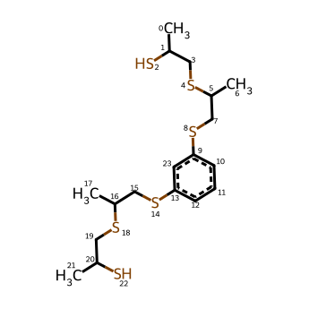 CC(S)CSC(C)CSc1cccc(SCC(C)SCC(C)S)c1